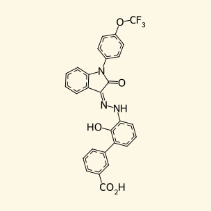 O=C(O)c1cccc(-c2cccc(NN=C3C(=O)N(c4ccc(OC(F)(F)F)cc4)c4ccccc43)c2O)c1